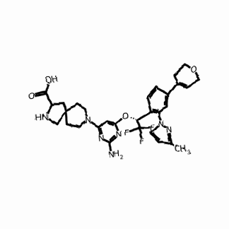 Cc1ccn(-c2cc(C3=CCOCC3)ccc2[C@@H](Oc2cc(N3CCC4(CC3)CNC(C(=O)O)C4)nc(N)n2)C(F)(F)F)n1